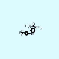 Cn1c(=O)n(C)c2cc(Nc3ccc(C(F)(F)F)cc3)ccc21